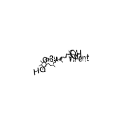 CCCCCC(C)(O)CC/C=C(\C)CCCC(C)CCC1=CC(O)C(C)C(C)C1OCCCC